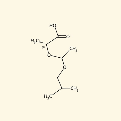 CC(C)COC(C)O[C@H](C)C(=O)O